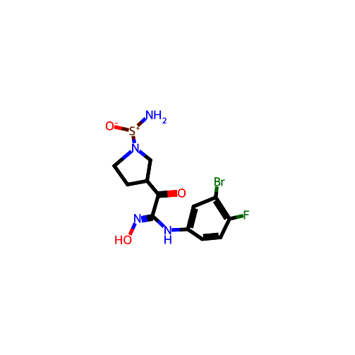 N[S+]([O-])N1CCC(C(=O)/C(=N/O)Nc2ccc(F)c(Br)c2)C1